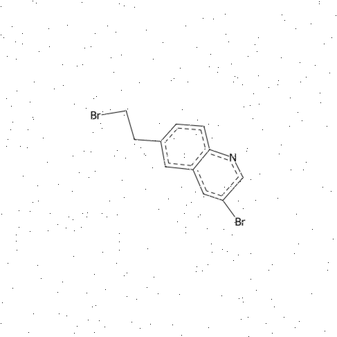 BrCCc1ccc2ncc(Br)cc2c1